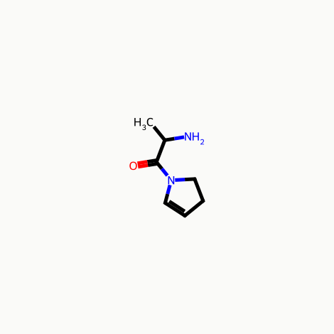 CC(N)C(=O)N1C=CCC1